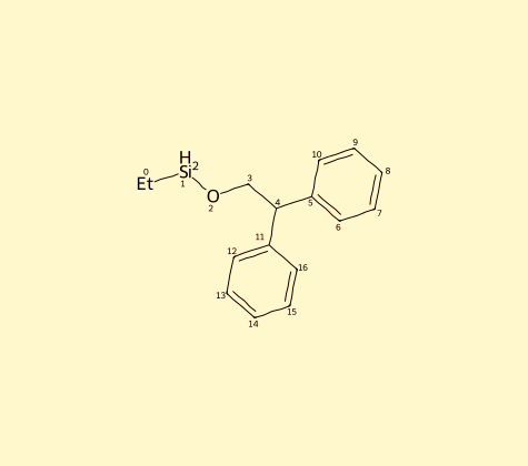 CC[SiH2]OCC(c1ccccc1)c1ccccc1